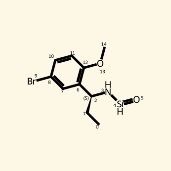 CC[C@H](N[SiH]=O)c1cc(Br)ccc1OC